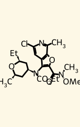 CCOC(=O)N(c1c(C(=O)N(C)OC)oc2c(C)nc(Cl)cc12)[C@@H]1C[C@H](CC)O[C@H](C)C1